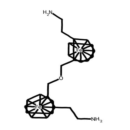 NCC[C]12[CH]3[CH]4[CH]5[C]1(COC[C]16[CH]7[CH]8[CH]9[C]1(CCN)[Fe]89761%10%11%12[CH]6[CH]1[CH]%10[CH]%11[CH]6%12)[Fe]43521678[CH]2[CH]1[CH]6[CH]7[CH]28